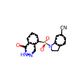 N#Cc1ccc2c(c1)N(S(=O)(=O)c1cccc3c(=O)[nH]ncc13)CC2